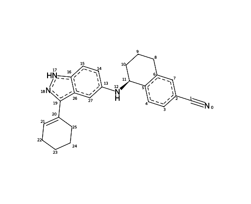 N#Cc1ccc2c(c1)CCC[C@@H]2Nc1ccc2[nH]nc(C3=CCCCC3)c2c1